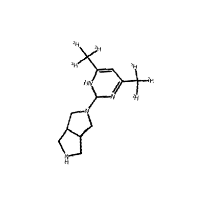 [2H]C([2H])([2H])C1=CC(C([2H])([2H])[2H])=NC(N2CC3CNCC3C2)N1